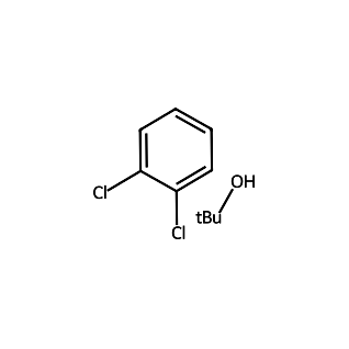 CC(C)(C)O.Clc1ccccc1Cl